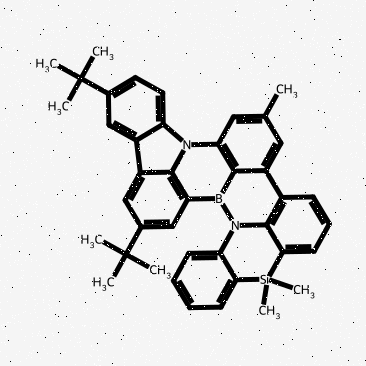 Cc1cc2c3c(c1)-n1c4ccc(C(C)(C)C)cc4c4cc(C(C)(C)C)cc(c41)B3N1c3ccccc3[Si](C)(C)c3cccc-2c31